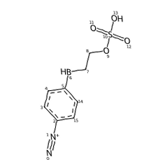 N#[N+]c1ccc(BCCOS(=O)(=O)O)cc1